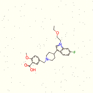 CCOCCn1cc(C2CCN(Cc3ccc(OC)c(C(=O)O)c3)CC2)c2ccc(F)cc21